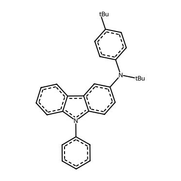 CC(C)(C)c1ccc(N(c2ccc3c(c2)c2ccccc2n3-c2ccccc2)C(C)(C)C)cc1